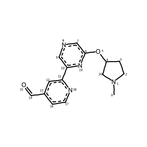 CN1CCC(Oc2cncc(-c3cc(C=O)ccn3)n2)C1